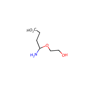 NC(CCC(=O)O)OCCO